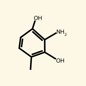 Cc1ccc(O)c(N)c1O